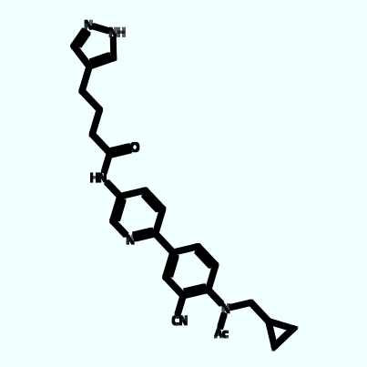 CC(=O)N(CC1CC1)c1ccc(-c2ccc(NC(=O)CCCc3cn[nH]c3)cn2)cc1C#N